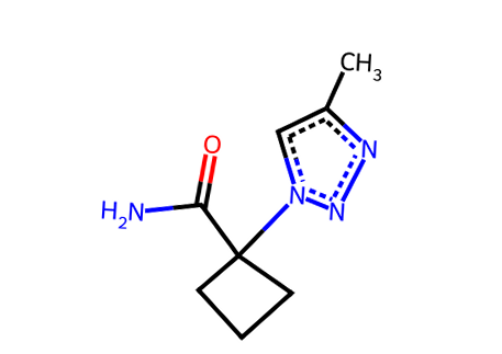 Cc1cn(C2(C(N)=O)CCC2)nn1